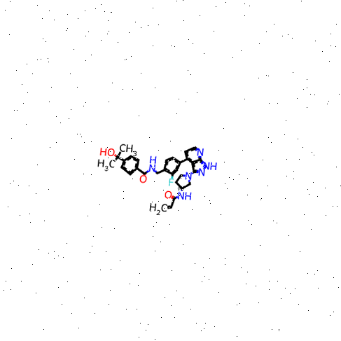 C=CC(=O)N[C@@H]1CCN(c2n[nH]c3nccc(-c4ccc(CNC(=O)c5ccc(C(C)(C)O)cc5)c(F)c4)c23)C1